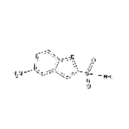 Nc1ccc2oc(S(N)(=O)=O)cc2c1